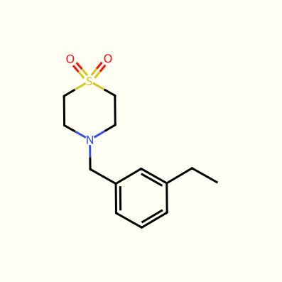 CCc1cccc(CN2CCS(=O)(=O)CC2)c1